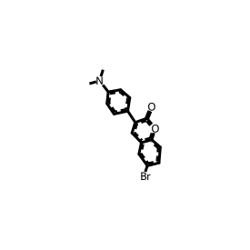 CN(C)c1ccc(-c2cc3cc(Br)ccc3oc2=O)cc1